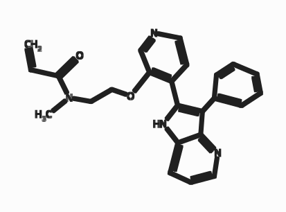 C=CC(=O)N(C)CCOc1cnccc1-c1[nH]c2cccnc2c1-c1ccccc1